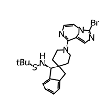 CC(C)(C)SN[C@@H]1c2ccccc2CC12CCN(c1nccn3c(Br)ncc13)CC2